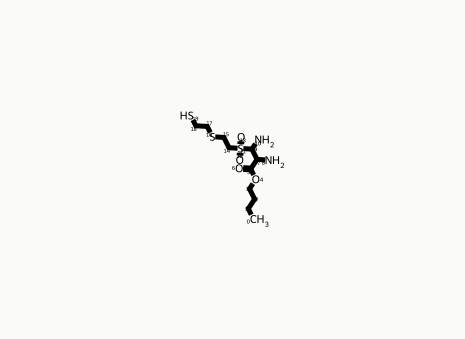 CCCCOC(=O)C(N)C(N)S(=O)(=O)CCSCCS